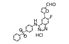 Cl.O=Cc1ccc(-c2cc3c(Nc4ccc(S(=O)(=O)c5ccccc5)cc4)ncnc3cc2F)o1